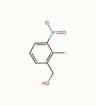 [CH2]c1c(CO)cccc1[N+](=O)[O-]